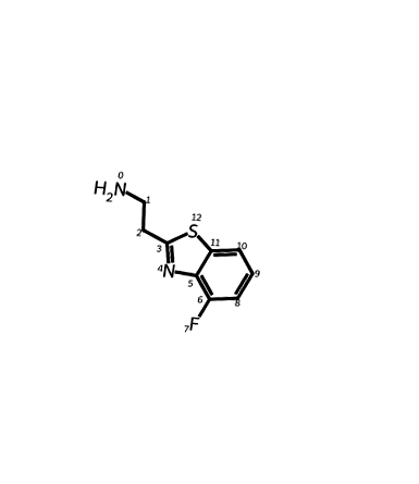 NCCc1nc2c(F)cccc2s1